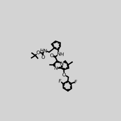 Cc1cc(OCc2c(F)cccc2F)c2nc(C)c(C(=O)Nc3ccccc3CNC(=O)OC(C)(C)C)n2c1